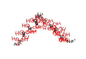 OB(O)O.OB(O)O.OB(O)O.OB(O)O.OB(O)O.OB(O)O.OB(O)O.[Li+].[Li+].[Na+].[Na+].[O-]B([O-])O.[OH-].[OH-]